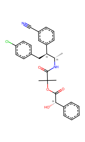 C[C@H](NC(=O)C(C)(C)OC(=O)[C@@H](O)c1ccccc1)[C@@H](Cc1ccc(Cl)cc1)c1cccc(C#N)c1